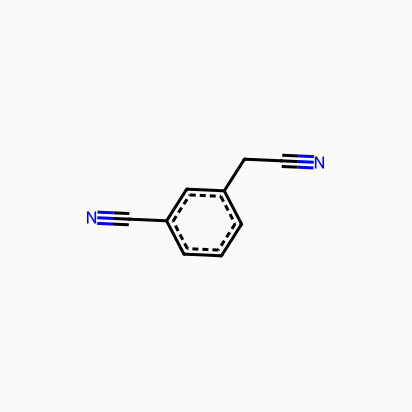 N#CCc1cccc(C#N)c1